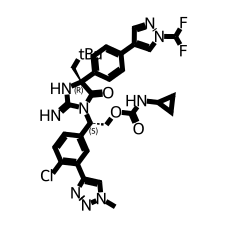 Cn1cc(-c2cc([C@@H](COC(=O)NC3CC3)N3C(=N)N[C@](CC(C)(C)C)(c4ccc(-c5cnn(C(F)F)c5)cc4)C3=O)ccc2Cl)nn1